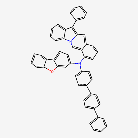 c1ccc(-c2ccc(-c3ccc(N(c4ccc5c(c4)oc4ccccc45)c4cccc5cc6c(-c7ccccc7)c7ccccc7n6cc45)cc3)cc2)cc1